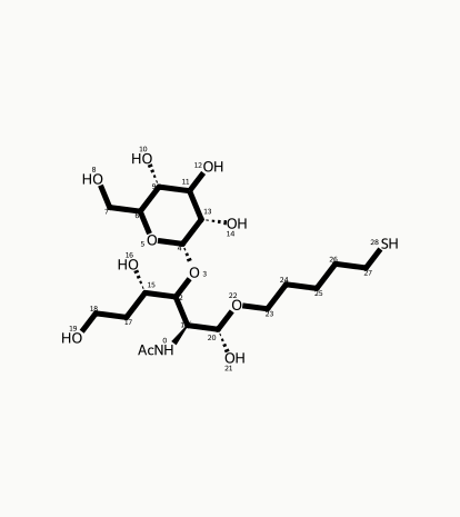 CC(=O)N[C@@H](C(O[C@@H]1OC(CO)[C@H](O)C(O)[C@@H]1O)[C@@H](O)CCO)[C@@H](O)OCCCCCS